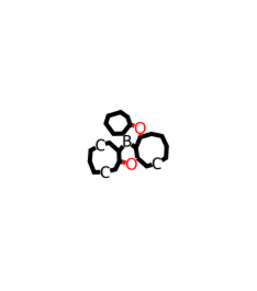 C1CCCC2OC3CCCCCCC4OC5CCCCCC5B(C2CCC1)C34